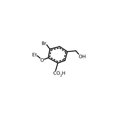 CCOc1c(Br)cc(CO)cc1C(=O)O